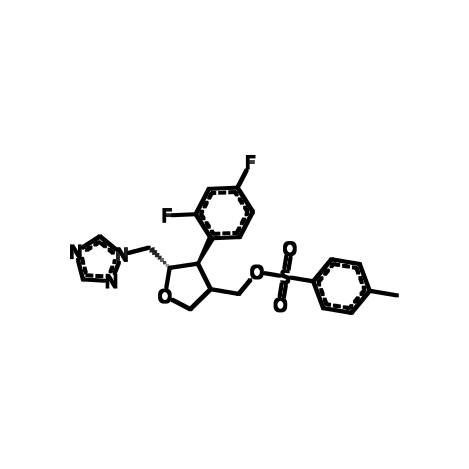 Cc1ccc(S(=O)(=O)OCC2CO[C@H](Cn3cncn3)[C@H]2c2ccc(F)cc2F)cc1